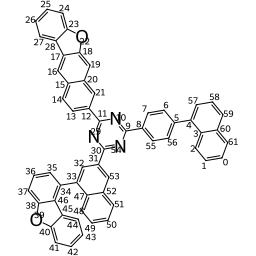 c1ccc2c(-c3ccc(-c4nc(-c5ccc6cc7c(cc6c5)oc5ccccc57)nc(-c5cc(-c6cccc7oc8ccccc8c67)c6ccccc6c5)n4)cc3)cccc2c1